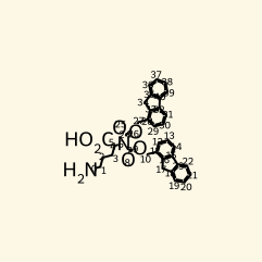 NCCCC(C(=O)O)N(C(=O)OCc1cccc2c1Cc1ccccc1-2)C(=O)OCc1cccc2c1Cc1ccccc1-2